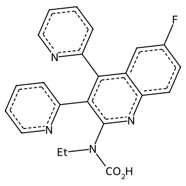 CCN(C(=O)O)c1nc2ccc(F)cc2c(-c2ccccn2)c1-c1ccccn1